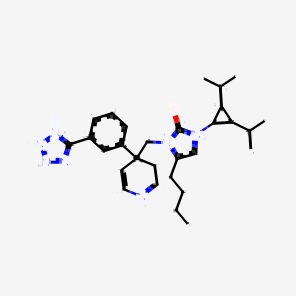 CCCCc1cn(C2C(C(C)C)C2C(C)C)c(=O)n1CC1(c2cccc(-c3nnn[nH]3)c2)C=CN=CC1